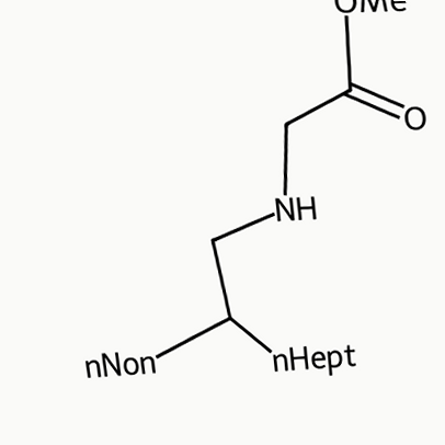 CCCCCCCCCC(CCCCCCC)CNCC(=O)OC